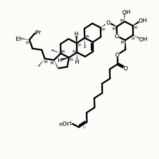 CCCCCCCC/C=C\CCCCCCCC(=O)OC[C@H]1O[C@@H](O[C@H]2CC[C@@]3(C)C(=CC[C@H]4[C@@H]5CC[C@H]([C@H](C)CC[C@H](CC)C(C)C)[C@@]5(C)CC[C@@H]43)C2)[C@H](O)[C@@H](O)[C@@H]1O